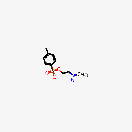 Cc1ccc(S(=O)(=O)OCCNC=O)cc1